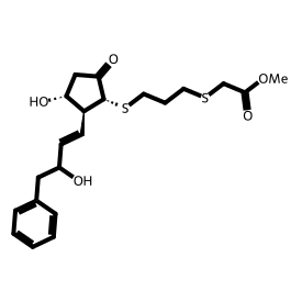 COC(=O)CSCCCS[C@H]1C(=O)C[C@@H](O)[C@@H]1/C=C/C(O)Cc1ccccc1